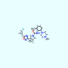 CC(C)N1CCN(c2cccc(C#N)c2NC(=O)N2CC[C@@](C)(c3noc([C@@H]4C[C@@H]4F)n3)C2)CC1